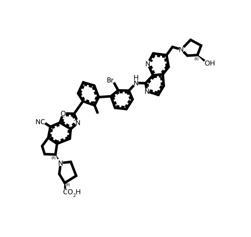 Cc1c(-c2nc3cc4c(c(C#N)c3o2)CC[C@H]4N2CC[C@@H](C(=O)O)C2)cccc1-c1cccc(Nc2nccc3cc(CN4CC[C@@H](O)C4)cnc23)c1Br